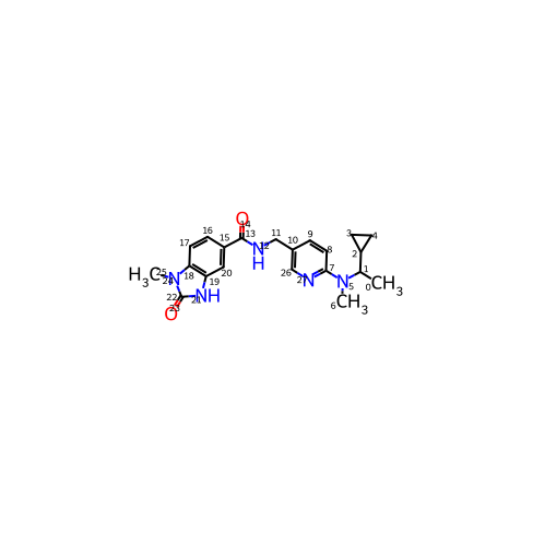 CC(C1CC1)N(C)c1ccc(CNC(=O)c2ccc3c(c2)[nH]c(=O)n3C)cn1